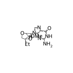 CC[C@]12COC(C(n3cnc4c(=O)[nH]c(N)nc43)O1)[C@H]2OC